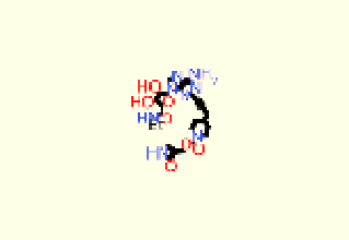 CCNC(=O)[C@H]1O[C@@H](n2cnc3c(N)nc(C#CCC4CCN(C(=O)OCC5CNC5=O)CC4)nc32)[C@@H](O)C1O